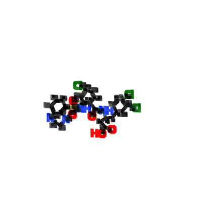 O=C(O)CC(Cc1ccc(Cl)c(Cl)c1)NC(=O)c1ccc(Cl)cc1NS(=O)(=O)c1cccc2nccnc12